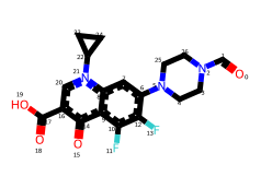 O=CN1CCN(c2cc3c(c(F)c2F)c(=O)c(C(=O)O)cn3C2CC2)CC1